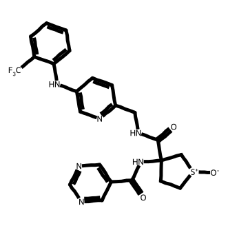 O=C(NC1(C(=O)NCc2ccc(Nc3ccccc3C(F)(F)F)cn2)CC[S+]([O-])C1)c1cncnc1